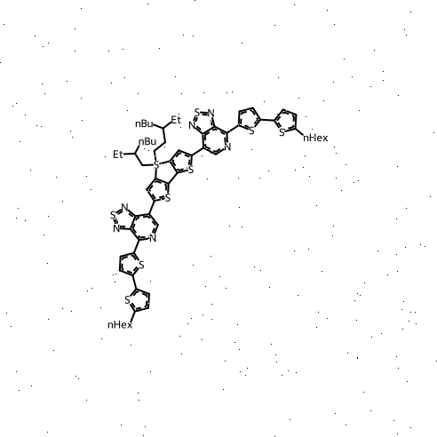 CCCCCCc1ccc(-c2ccc(-c3ncc(-c4cc5c(s4)-c4sc(-c6cnc(-c7ccc(-c8ccc(CCCCCC)s8)s7)c7nsnc67)cc4S5(CCC(CC)CCCC)CC(CC)CCCC)c4nsnc34)s2)s1